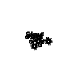 C[S+]([O-])NC[C@@H](CO)N1C(=O)c2ccccc2C(C(=O)NOCc2ccccn2)C1c1ccc(Cl)cc1Cl